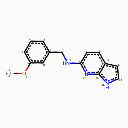 FC(F)(F)Oc1cccc(CNc2ccc3cc[nH]c3n2)c1